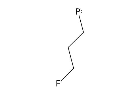 FCCC[P]